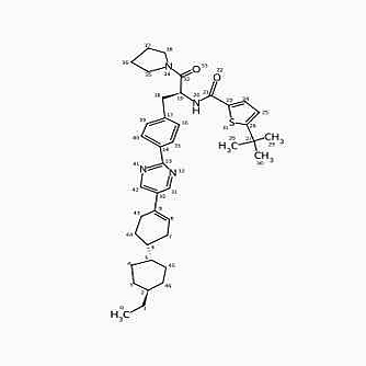 CC[C@H]1CC[C@H](C2CC=C(c3cnc(-c4ccc(C[C@H](NC(=O)c5ccc(C(C)(C)C)s5)C(=O)N5CCCC5)cc4)nc3)CC2)CC1